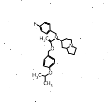 C=C(OCc1ccc(OC(C)C)cc1)N(Cc1ccc(F)cc1)[C@H]1CCN2CCCC2C1